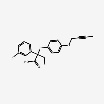 CC#CCOc1ccc(SC(CC)(C(=O)O)c2cccc(Br)c2)cc1